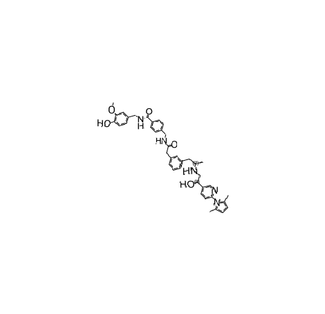 COc1cc(CNC(=O)c2ccc(CNC(=O)Cc3cccc(C[C@@H](C)NC[C@H](O)c4ccc(-n5c(C)ccc5C)nc4)c3)cc2)ccc1O